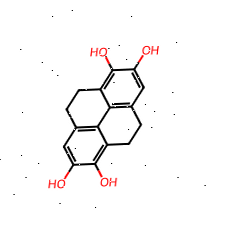 Oc1cc2c3c(c1O)CCc1cc(O)c(O)c(c1-3)CC2